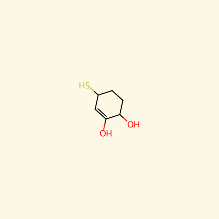 OC1=CC(S)CCC1O